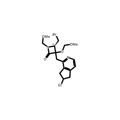 CCC1Cc2ccnc(CC3(OCOC)C(=O)N(COC)[C@H]3CC(C)C)c2C1